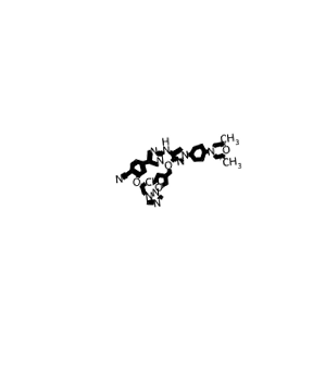 CC(Cn1cncn1)Oc1cc(-c2cnc(Nc3cn(C4CCC(N5C[C@@H](C)O[C@@H](C)C5)CC4)nc3OCC3CCOC3)nc2)ccc1C#N